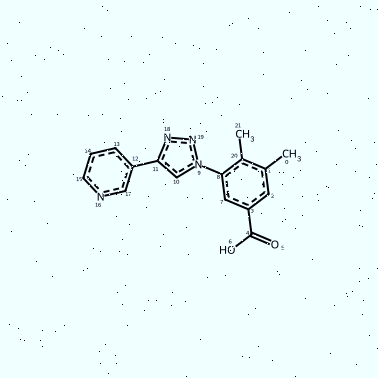 Cc1cc(C(=O)O)cc(-n2cc(-c3cccnc3)nn2)c1C